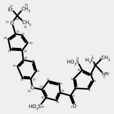 CCCC(C)(C)c1ccc(C(=O)c2ccc(Oc3ccc(-c4ccc(OC(C)(C)CC)cc4)cc3)c(S(=O)(=O)O)c2)cc1S(=O)(=O)O